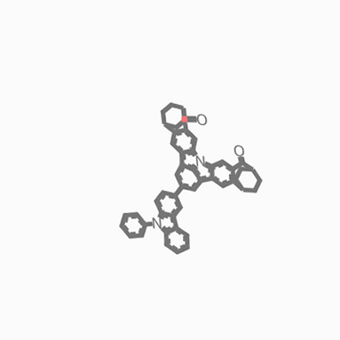 O=C1c2cc3c(cc2C2CCC1CC2)c1cc(-c2ccc4c(c2)c2ccccc2n4-c2ccccc2)cc2c4cc5c(cc4n3c12)C(=O)C1CCC5CC1